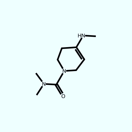 CNC1=CCN(C(=O)N(C)C)CC1